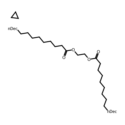 C1CC1.CCCCCCCCCCCCCCCCCCC(=O)OCCOC(=O)CCCCCCCCCCCCCCCCCC